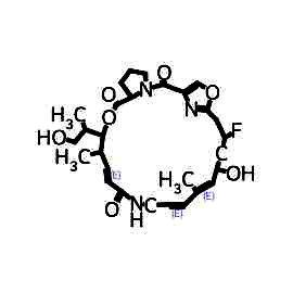 CC1=C\C(O)CC(F)Cc2nc(co2)C(=O)N2CCCC2C(=O)OC(C(C)CO)C(C)/C=C/C(=O)NC\C=C\1